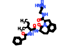 CC[C@H](C)[C@H](NC(=O)Cc1ccccc1)C(=O)N[C@H]1CCc2cccc3c2N(C1=O)[C@H](C(=O)NCc1n[nH][nH]1)C3